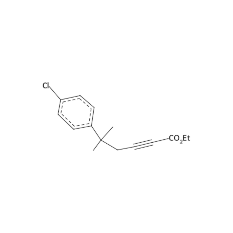 CCOC(=O)C#CCC(C)(C)c1ccc(Cl)cc1